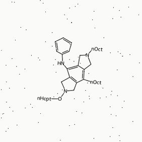 CCCCCCCCc1c2c(c(Nc3ccccc3)c3c1CN(OCCCCCCC)C3)CN(CCCCCCCC)C2